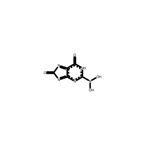 O=C1N=c2nc(N(O)O)[nH]c(=O)c2=N1